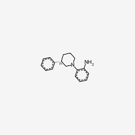 Nc1ccccc1N1CCC[C@@H](c2ccccc2)C1